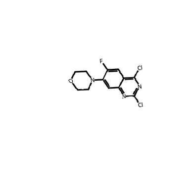 Fc1cc2c(Cl)nc(Cl)nc2cc1N1CCOCC1